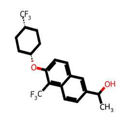 CC(O)c1ccc2c(C(F)(F)F)c(O[C@H]3CC[C@@H](C(F)(F)F)CC3)ccc2c1